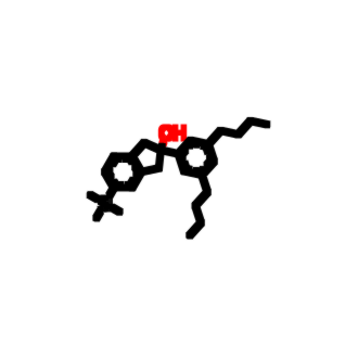 CCCCc1cc(CCCC)cc(C2(O)Cc3ccc([Si](C)(C)C)cc3C2)c1